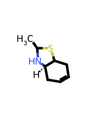 CC1N[C@@H]2CC=CCC2S1